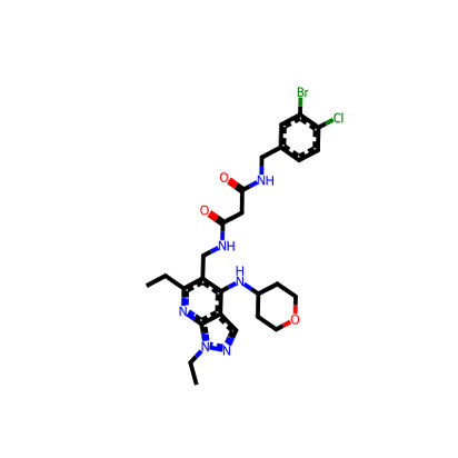 CCc1nc2c(cnn2CC)c(NC2CCOCC2)c1CNC(=O)CC(=O)NCc1ccc(Cl)c(Br)c1